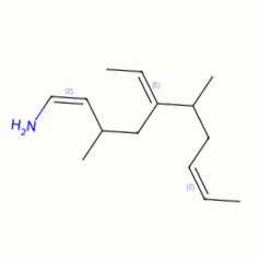 C/C=C\CC(C)/C(=C/C)CC(C)/C=C\N